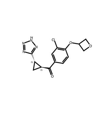 O=C(c1ccc(OC2COC2)c(Cl)c1)[C@H]1C[C@@H]1c1nn[nH]n1